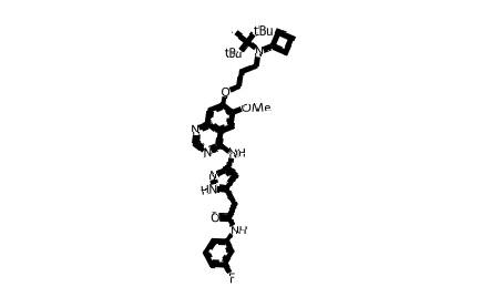 [CH2]C(N(CCCOc1cc2ncnc(Nc3cc(CC(=O)Nc4cccc(F)c4)[nH]n3)c2cc1OC)C1CCC1)(C(C)(C)C)C(C)(C)C